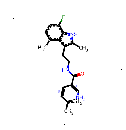 C=C(C)/C=C\C(=C/N)C(=O)NCCc1c(C)[nH]c2c(F)ccc(C)c12